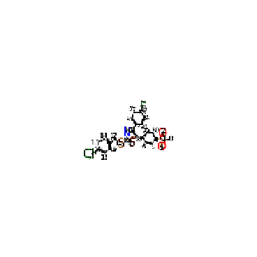 CS(=O)(=O)c1ccc(-c2sc(SCc3ccc(Cl)cc3)nc2-c2ccc(F)cc2)cc1